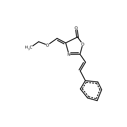 CCO/C=C1N=C(/C=C/c2ccccc2)OC\1=O